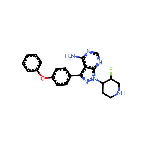 Nc1ncnc2c1c(-c1ccc(Oc3ccccc3)cc1)nn2C1CCNCC1F